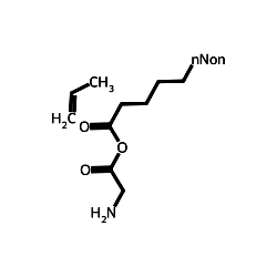 C=CC.CCCCCCCCCCCCCC(=O)OC(=O)CN